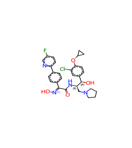 O=C(N[C@H](CN1CCCC1)[C@H](O)c1ccc(OC2CC2)c(Cl)c1)/C(=N/O)c1ccc(-c2ccc(F)cn2)cc1